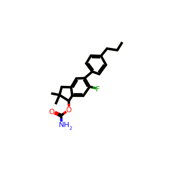 CCCc1ccc(-c2cc3c(cc2F)C(OC(N)=O)C(C)(C)C3)cc1